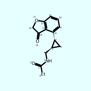 CCC(=O)NC[C@@H]1C[C@H]1c1cccc2c1C(=O)CO2